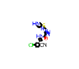 N#Cc1ccc(Cl)cc1[C@H]1C[C@@H](NC(=O)c2cn(Cc3nc4c(s3)CNCC4)nn2)C1